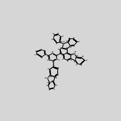 c1ccc(-c2nc(-c3ccc4c(c3)oc3ccccc34)nc(-c3cc4c(c5ccccc5n4-c4ccccc4)c4c3ccc3c5ccccc5oc34)n2)cc1